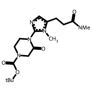 CNC(=O)CCc1cnc(N2CCN(C(=O)OC(C)(C)C)CC2=O)n1C